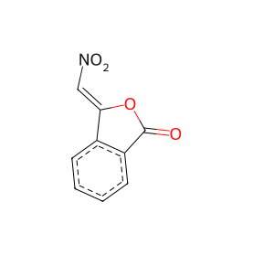 O=C1OC(=C[N+](=O)[O-])c2ccccc21